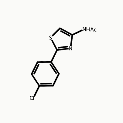 CC(=O)Nc1csc(-c2ccc(Cl)cc2)n1